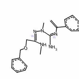 C=C(/N=C(/N)N(C)/N=C(/COCc1ccccc1)NC)c1ccccc1